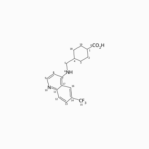 O=C(O)C1CCC(CNc2ccnc3ccc(C(F)(F)F)cc23)CC1